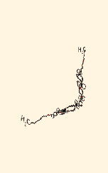 C=CCCCCCCCCCOc1ccc(C(=O)Oc2ccc(C(=O)Oc3cccc(OC(=O)c4ccc(OC(=O)c5ccc(OCCCCCCCCCCCC)cc5)cc4)c3)cc2)cc1